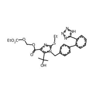 CCOC(=O)OCOC(=O)c1nc(SCC)n(Cc2ccc(-c3ccccc3-c3nnn[nH]3)cc2)c1C(C)(C)O